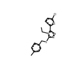 CCn1c(SCc2ccc(C)cc2)nnc1-c1ccc(Cl)s1